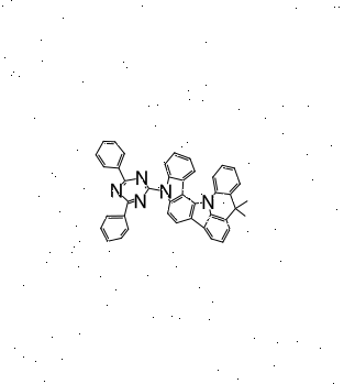 CC1(C)c2ccccc2-n2c3c1cccc3c1ccc3c(c4ccccc4n3-c3nc(-c4ccccc4)nc(-c4ccccc4)n3)c12